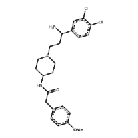 COc1ccc(CC(=O)NC2CCN(CCC(N)c3ccc(Cl)c(Cl)c3)CC2)cc1